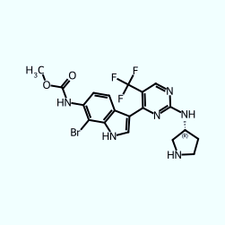 COC(=O)Nc1ccc2c(-c3nc(N[C@@H]4CCNC4)ncc3C(F)(F)F)c[nH]c2c1Br